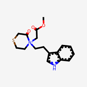 COC(=O)C[N+]1(CCc2c[nH]c3ccccc23)CCSCC1=O